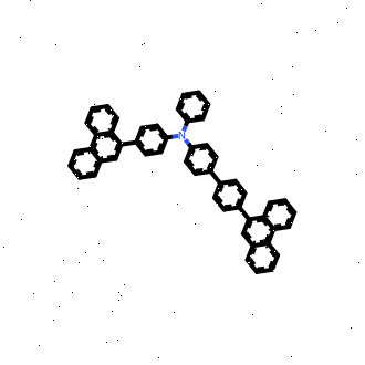 c1ccc(N(c2ccc(-c3ccc(-c4cc5ccccc5c5ccccc45)cc3)cc2)c2ccc(-c3cc4ccccc4c4ccccc34)cc2)cc1